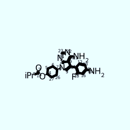 CC(C)C(=O)O[C@H]1CC[C@@H](n2cc(-c3ccc(N)cc3F)c3c(N)ncnc32)CC1